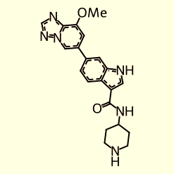 COc1cc(-c2ccc3c(C(=O)NC4CCNCC4)c[nH]c3c2)cn2ncnc12